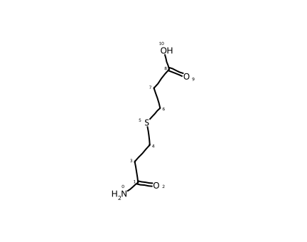 NC(=O)CCSCCC(=O)O